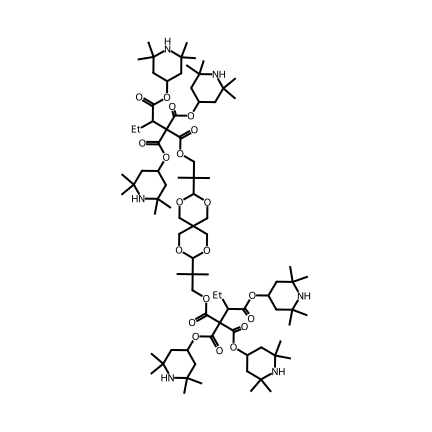 CCC(C(=O)OC1CC(C)(C)NC(C)(C)C1)C(C(=O)OCC(C)(C)C1OCC2(CO1)COC(C(C)(C)COC(=O)C(C(=O)OC1CC(C)(C)NC(C)(C)C1)(C(=O)OC1CC(C)(C)NC(C)(C)C1)C(CC)C(=O)OC1CC(C)(C)NC(C)(C)C1)OC2)(C(=O)OC1CC(C)(C)NC(C)(C)C1)C(=O)OC1CC(C)(C)NC(C)(C)C1